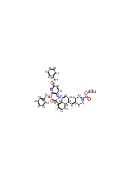 CC(C)(C)OC(=O)N1CCC(=Cc2ccc3c4c(cccc24)C(=O)N3c2ccc(OCc3ccccc3)nc2OCc2ccccc2)CC1